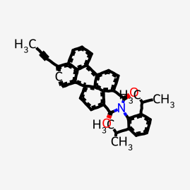 CC#Cc1ccc2c3ccc4c5c(ccc(c6cccc1c62)c53)C(=O)N(c1c(C(C)C)cccc1C(C)C)C4=O